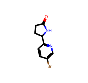 O=C1CCC(c2ccc(Br)cn2)N1